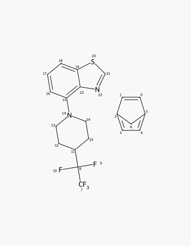 C1=CC2=CC=C1C2.FC(F)(F)C(F)(F)C1CCN(c2cccc3scnc23)CC1